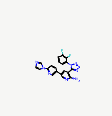 Nc1ncc(-c2ccc(-n3ccnc3)nc2)cc1-c1nnnn1-c1cccc(F)c1F